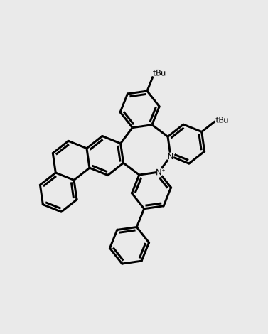 CC(C)(C)c1ccc2c(c1)-c1cc(C(C)(C)C)cc[n+]1-[n+]1ccc(-c3ccccc3)cc1-c1cc3c(ccc4ccccc43)cc1-2